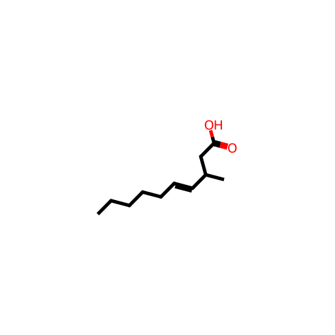 CCCCC/C=C/C(C)CC(=O)O